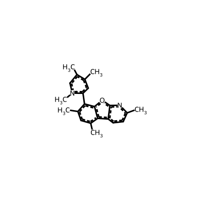 Cc1ccc2c(n1)oc1c(-c3cc(C)c(C)c[n+]3C)c(C)cc(C)c12